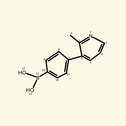 Cc1ncccc1-c1ccc(B(O)O)cc1